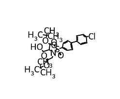 CC(C)(C)OC(=O)CN(C(CO)C(=O)OC(C)(C)C)S(=O)(=O)c1ccc(-c2ccc(Cl)cc2)cc1